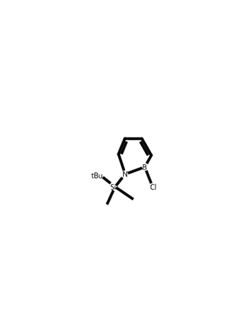 CC(C)(C)[Si](C)(C)N1C=CC=CB1Cl